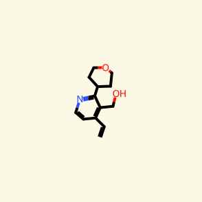 C=Cc1ccnc(C2CCOCC2)c1CO